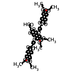 CCCCOC(=O)c1ccc2c3ccc4c5c(ccc(c6ccc(C(=O)OCCCC)c1c26)c53)C(=O)N(CCc1ccc(Oc2cc(C(=O)OCCCC)c3c(C(=O)OCCCC)ccc5c6c(Oc7ccc(CCN8C(=O)c9ccc%10c%11ccc(C(=O)OCCCC)c%12c(C(=O)OCCCC)ccc(c%13ccc(c9c%10%13)C8=O)c%12%11)cc7)cc7c8c(ccc(c2c35)c86)C(=O)C(CCCC(=O)O)C7=O)cc1)C4=O